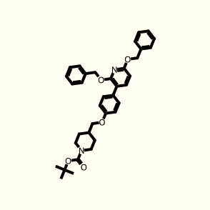 CC(C)(C)OC(=O)N1CCC(COc2ccc(-c3ccc(OCc4ccccc4)nc3OCc3ccccc3)cc2)CC1